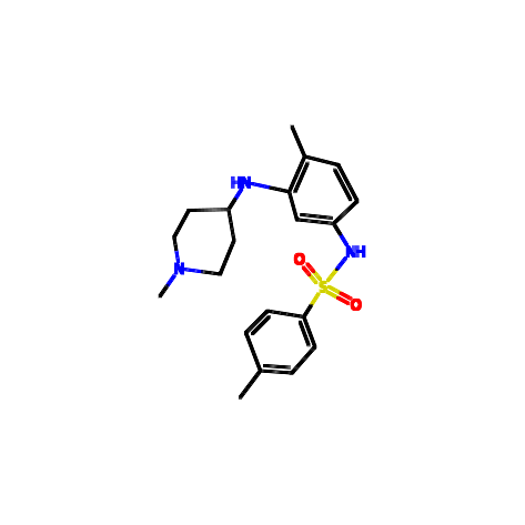 Cc1ccc(S(=O)(=O)Nc2ccc(C)c(NC3CCN(C)CC3)c2)cc1